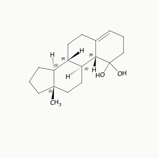 C[C@@]12CCC[C@H]1[C@@H]1CCC3=CCCC(O)(O)[C@@H]3[C@H]1CC2